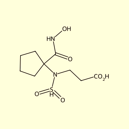 O=C(O)CCN([SH](=O)=O)C1(C(=O)NO)CCCC1